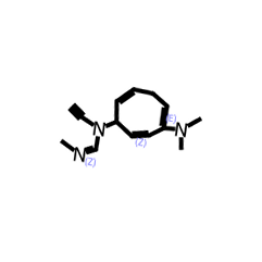 C#CN(/C=N\C)C1C=CC/C=C(N(C)C)\C=C/1